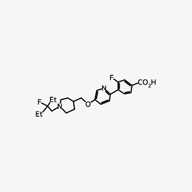 CCC(F)(CC)CN1CCC(COc2ccc(-c3ccc(C(=O)O)cc3F)nc2)CC1